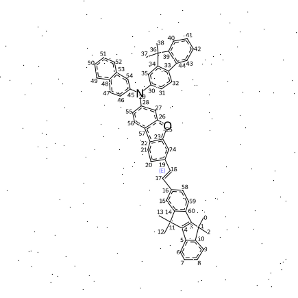 CC1(C)C2=C(c3ccccc31)C(C)(C)c1cc(/C=C/c3ccc4c(c3)oc3cc(N(c5ccc6c(c5)C(C)(C)c5ccccc5-6)c5ccc6ccccc6c5)ccc34)ccc12